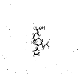 CC(C)N(C)C1=NC2C=C(C(=O)O)C=C[C@H]2N=C1c1ccco1